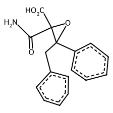 NC(=O)C1(C(=O)O)OC1(Cc1ccccc1)c1ccccc1